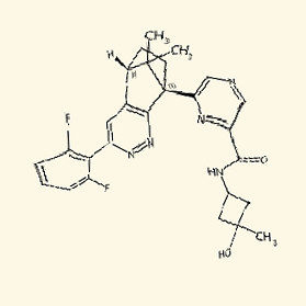 CC1(O)CC(NC(=O)c2cncc([C@@]34CC[C@@H](c5cc(-c6c(F)cccc6F)nnc53)C4(C)C)n2)C1